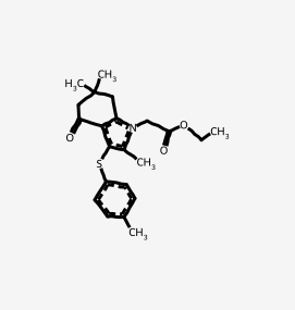 CCOC(=O)Cn1c(C)c(Sc2ccc(C)cc2)c2c1CC(C)(C)CC2=O